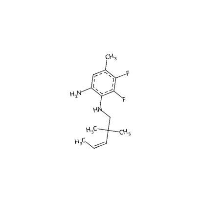 C/C=C\C(C)(C)CNc1c(N)cc(C)c(F)c1F